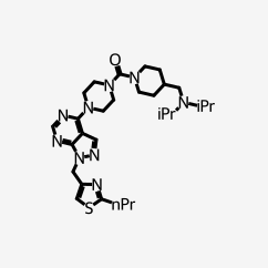 CCCc1nc(Cn2ncc3c(N4CCN(C(=O)N5CCC(CN(C(C)C)C(C)C)CC5)CC4)ncnc32)cs1